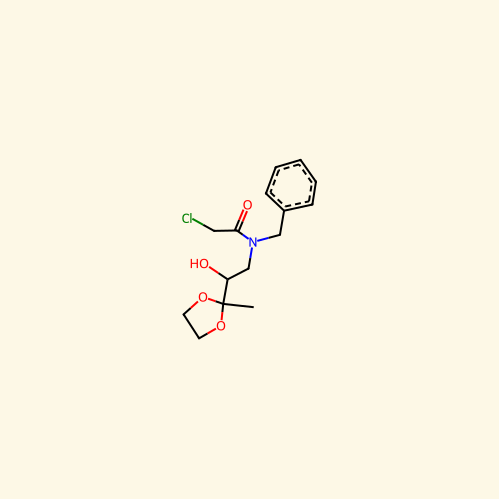 CC1(C(O)CN(Cc2ccccc2)C(=O)CCl)OCCO1